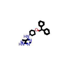 c1ccc(C(CO[C@H]2CC[C@H](Nc3ncnc4[nH]ncc34)CC2)c2ccccc2)cc1